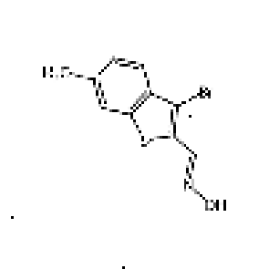 Cc1ccc2c(Br)c(C=NO)sc2c1